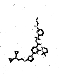 CCCNc1cccc(S(=O)(=O)NC(=O)c2ccc(-n3ccc(OCCC(C4CC4)C4CC4)n3)nc2N2NCCC2(C)C)n1